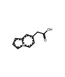 O=C(O)Cc1ccn2cccc2c1